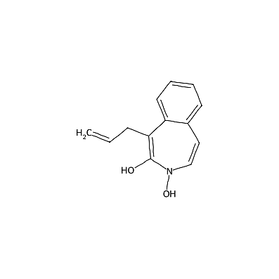 C=CCC1=C(O)N(O)C=Cc2ccccc21